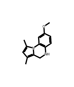 COc1ccc2c(c1)-n1c(C)cc(C)c1CN2